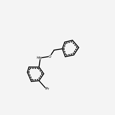 CC(C)c1cccc(NOCc2ccccc2)c1